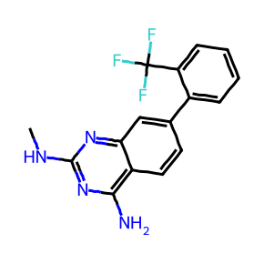 CNc1nc(N)c2ccc(-c3ccccc3C(F)(F)F)cc2n1